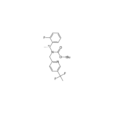 C[C@H](c1ccccc1F)N(Cc1ccc(C(C)(F)F)cn1)C(=O)OC(C)(C)C